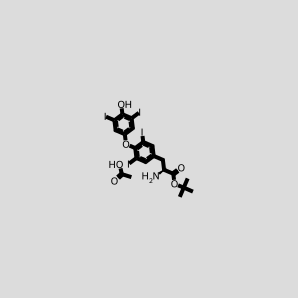 CC(=O)O.CC(C)(C)OC(=O)[C@@H](N)Cc1cc(I)c(Oc2cc(I)c(O)c(I)c2)c(I)c1